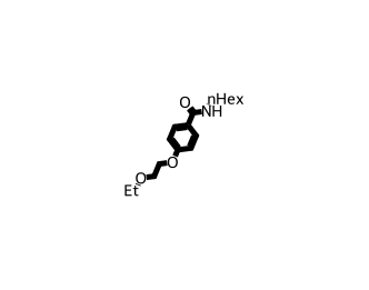 CCCCCCNC(=O)c1ccc(OCCOCC)cc1